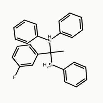 CC([SiH2]c1ccccc1)(c1cccc(F)c1)[SiH](c1ccccc1)c1ccccc1